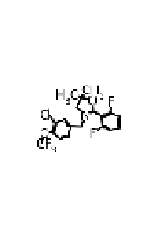 CC1(C)CN(Cc2ccc(OC(F)(F)F)c(Cl)c2)C(c2c(F)cccc2F)O1